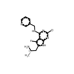 C[C@H](N)Cc1[nH]c2nc(Cl)nc(NCc3cccnc3)c2c1F